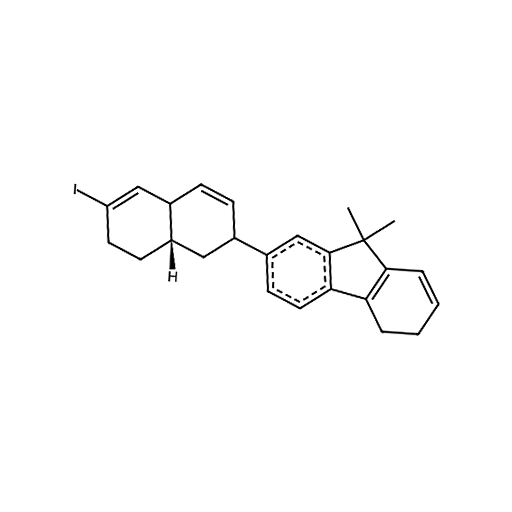 CC1(C)C2=C(CCC=C2)c2ccc(C3C=CC4C=C(I)CC[C@H]4C3)cc21